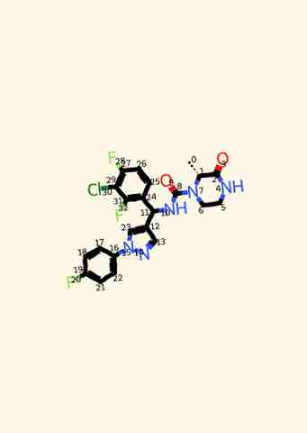 C[C@@H]1C(=O)NCCN1C(=O)NC(c1cnn(-c2ccc(F)cc2)c1)c1ccc(F)c(Cl)c1F